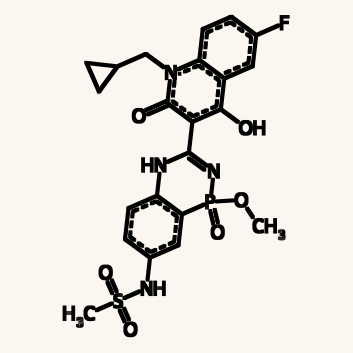 COP1(=O)N=C(c2c(O)c3cc(F)ccc3n(CC3CC3)c2=O)Nc2ccc(NS(C)(=O)=O)cc21